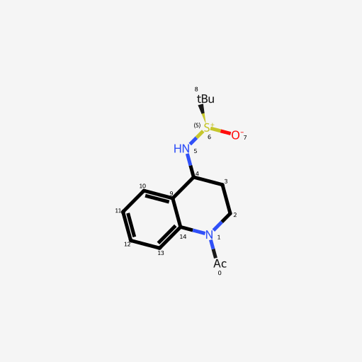 CC(=O)N1CCC(N[S@+]([O-])C(C)(C)C)c2ccccc21